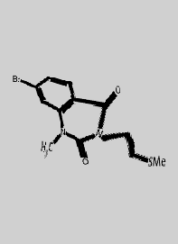 CSCCn1c(=O)c2ccc(Br)cc2n(C)c1=O